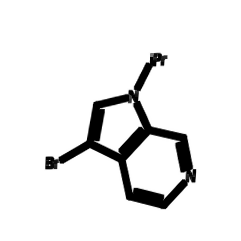 CC(C)n1cc(Br)c2ccncc21